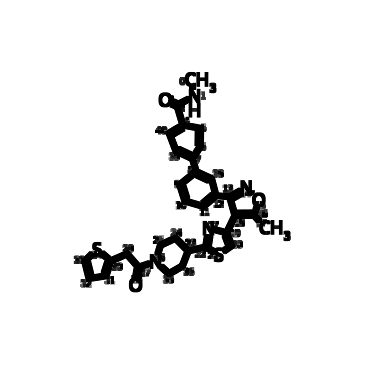 CNC(=O)c1ccc(-c2cccc(-c3noc(C)c3-c3csc(C4CCN(C(=O)Cc5cccs5)CC4)n3)c2)cc1